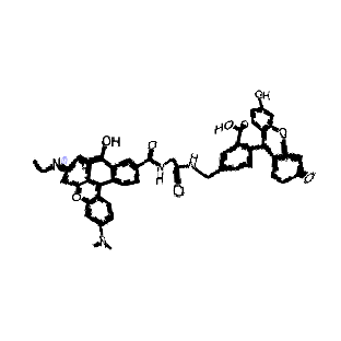 CC/N=c1/ccc2c(-c3ccc(C(=O)NCC(=O)NCc4ccc(-c5c6ccc(=O)cc-6oc6cc(O)ccc56)c(C(=O)O)c4)cc3C(=O)O)c3ccc(N(C)C)cc3oc-2c1